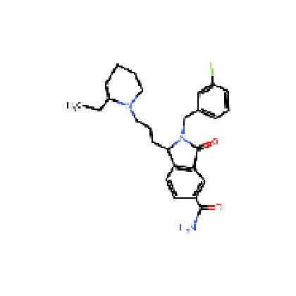 CCC1CCCCN1CCCC1c2ccc(C(N)=O)cc2C(=O)N1Cc1cccc(F)c1